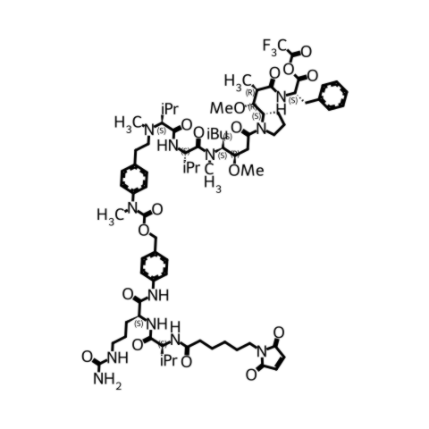 CC[C@H](C)[C@@H]([C@@H](CC(=O)N1CCC[C@H]1[C@H](OC)[C@@H](C)C(=O)N[C@@H](Cc1ccccc1)C(=O)OC(=O)C(F)(F)F)OC)N(C)C(=O)[C@@H](NC(=O)[C@H](C(C)C)N(C)CCc1ccc(N(C)C(=O)OCc2ccc(NC(=O)[C@H](CCCNC(N)=O)NC(=O)[C@@H](NC(=O)CCCCCN3C(=O)C=CC3=O)C(C)C)cc2)cc1)C(C)C